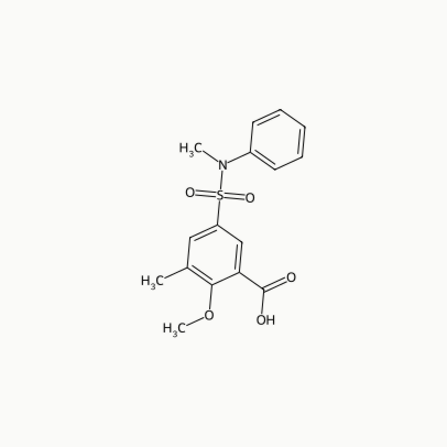 COc1c(C)cc(S(=O)(=O)N(C)c2ccccc2)cc1C(=O)O